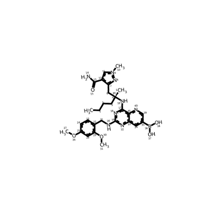 CCCC[C@](C)(Cc1nn(C)cc1C(N)=O)Nc1nc(NCc2ccc(OC)cc2OC)nc2cc(B(O)O)cnc12